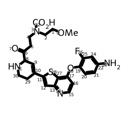 COCCN(CCC(=O)C1C=C(c2cc3nccc(Oc4ccc(N)cc4F)c3s2)CCN1)C(=O)O